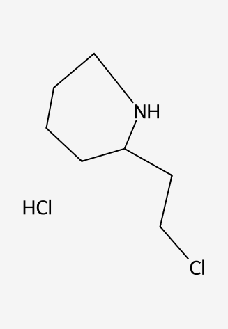 Cl.ClCCC1CCCCN1